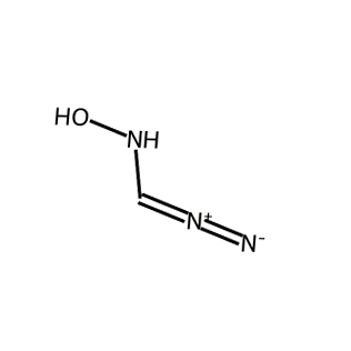 [N-]=[N+]=CNO